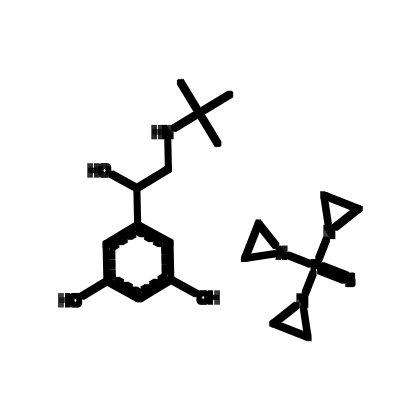 CC(C)(C)NCC(O)c1cc(O)cc(O)c1.S=P(N1CC1)(N1CC1)N1CC1